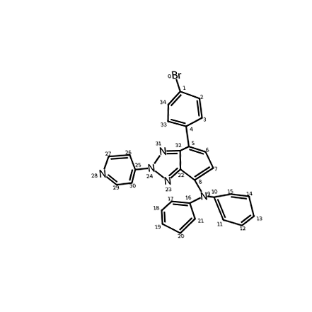 Brc1ccc(-c2ccc(N(c3ccccc3)c3ccccc3)c3nn(-c4ccncc4)nc23)cc1